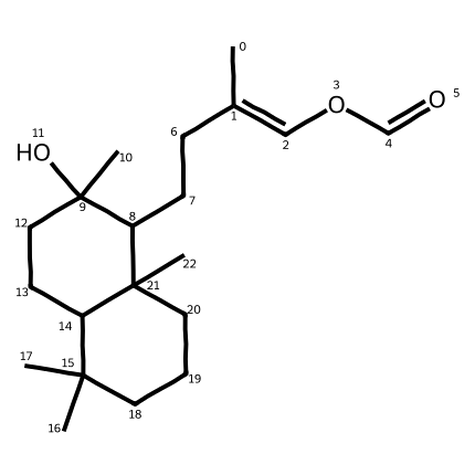 CC(=COC=O)CCC1C(C)(O)CCC2C(C)(C)CCCC21C